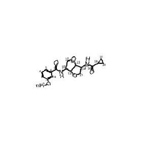 CCCOc1cccc(C(=O)NC2COC3C(NC(=O)C4CC4)COC23)c1